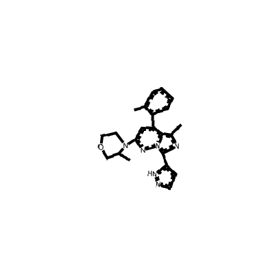 Cc1ccccc1-c1cc(N2CCOCC2C)nn2c(-c3ccn[nH]3)nc(C)c12